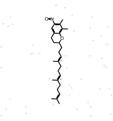 CC(C)=CCC/C(C)=C/CC/C(C)=C/CCC1CCc2cc(N=O)c(C)c(C)c2O1